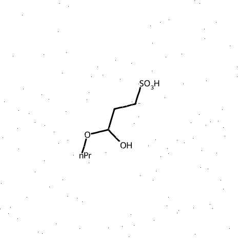 CCCOC(O)CCS(=O)(=O)O